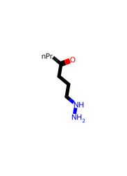 CCCC(=O)CCCNN